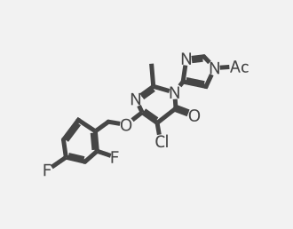 CC(=O)n1cnc(-n2c(C)nc(OCc3ccc(F)cc3F)c(Cl)c2=O)c1